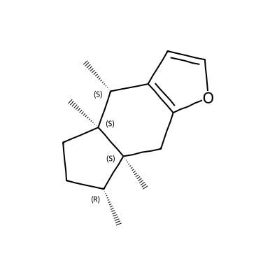 C[C@@H]1CC[C@@]2(C)[C@H](C)c3ccoc3C[C@@]12C